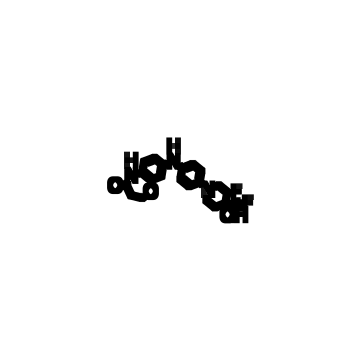 O=C1CCOc2cc(Nc3ccc(N4CCC(O)(C(F)(F)F)CC4)cc3)ccc2N1